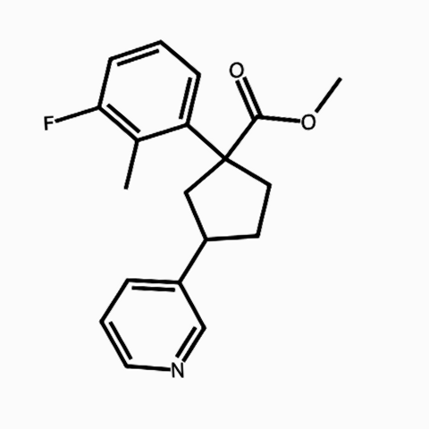 COC(=O)C1(c2cccc(F)c2C)CCC(c2cccnc2)C1